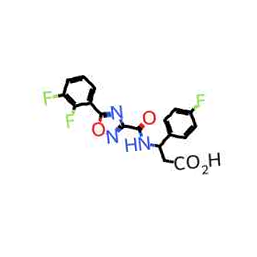 O=C(O)CC(NC(=O)c1noc(-c2cccc(F)c2F)n1)c1ccc(F)cc1